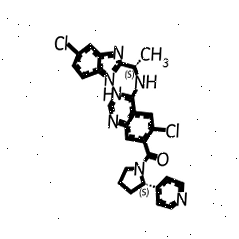 C[C@H](Nc1ncnc2cc(C(=O)N3CCC[C@H]3c3ccncc3)c(Cl)cc12)c1nc2cc(Cl)ccc2[nH]1